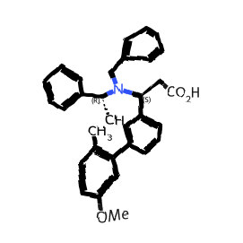 COc1ccc(C)c(-c2cccc([C@H](CC(=O)O)N(Cc3ccccc3)[C@H](C)c3ccccc3)c2)c1